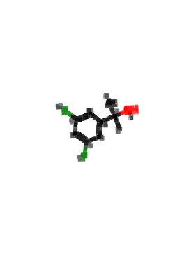 CC(=O)C(C)(O)c1cc(F)cc(F)c1